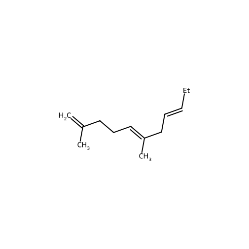 C=C(C)CCC=C(C)CC=CCC